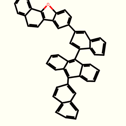 c1ccc2cc(-c3c4ccccc4c(-c4cc(-c5ccc6oc7c8ccccc8ccc7c6c5)cc5ccccc45)c4ccccc34)ccc2c1